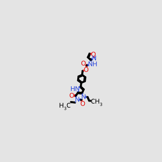 CCCn1c(=O)c2[nH]c(-c3ccc(COC(=O)Nc4ccon4)cc3)cc2n(CCC)c1=O